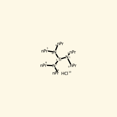 CCC[N](CCC)[Ti]([N](CCC)CCC)[N](CCC)CCC.Cl